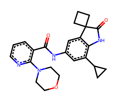 O=C(Nc1cc(C2CC2)c2c(c1)C1(CCC1)C(=O)N2)c1cccnc1N1CCOCC1